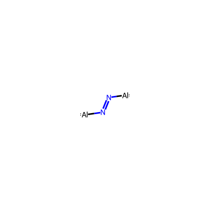 [Al][N]=[N][Al]